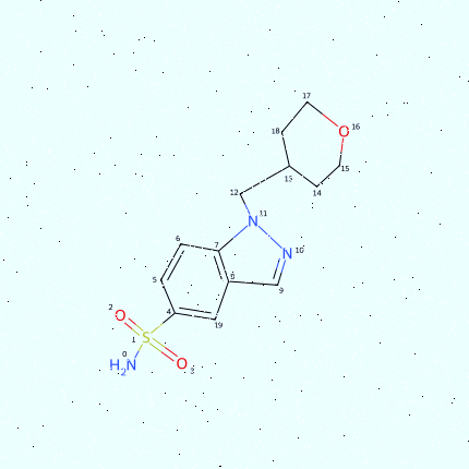 NS(=O)(=O)c1ccc2c(cnn2CC2CCOCC2)c1